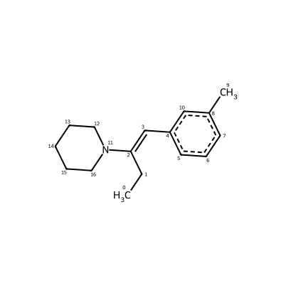 CC/C(=C\c1cccc(C)c1)N1CCCCC1